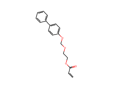 C=CC(=O)OCCOCOc1ccc(-c2ccccc2)cc1